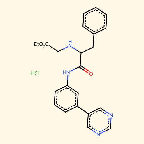 CCOC(=O)CNC(Cc1ccccc1)C(=O)Nc1cccc(-c2cncnc2)c1.Cl